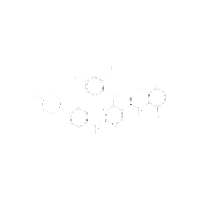 COc1cc(Br)ccc1Oc1nc(Nc2ccc(N3CCN(C)CC3)c(F)c2)ncc1C(=O)Nc1c(C)cccc1C